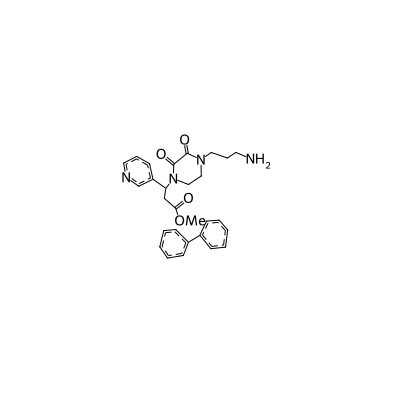 COC(=O)CC(c1cccnc1)N1CCN(CCCN)C(=O)C1=O.c1ccc(-c2ccccc2)cc1